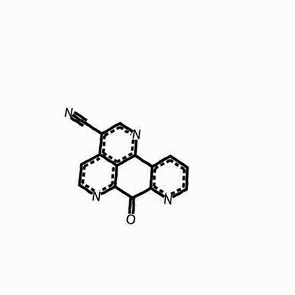 N#Cc1cnc2c3c(nccc13)C(=O)c1ncccc1-2